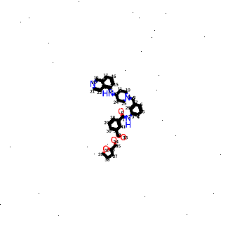 O=C(Nc1cccc(CN2CCC(Nc3cccc4cnccc34)CC2)c1)c1cccc(C(=O)OCC2CCCO2)c1